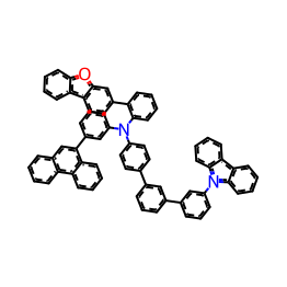 c1cc(-c2ccc(N(c3cccc(-c4cc5ccccc5c5ccccc45)c3)c3ccccc3-c3ccc4c(c3)oc3ccccc34)cc2)cc(-c2cccc(-n3c4ccccc4c4ccccc43)c2)c1